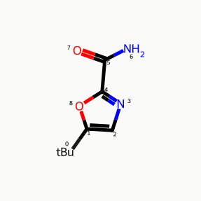 CC(C)(C)c1cnc(C(N)=O)o1